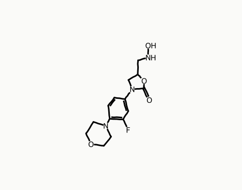 O=C1OC(CNO)CN1c1ccc(N2CCOCC2)c(F)c1